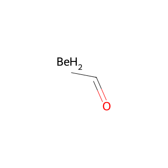 CC=O.[BeH2]